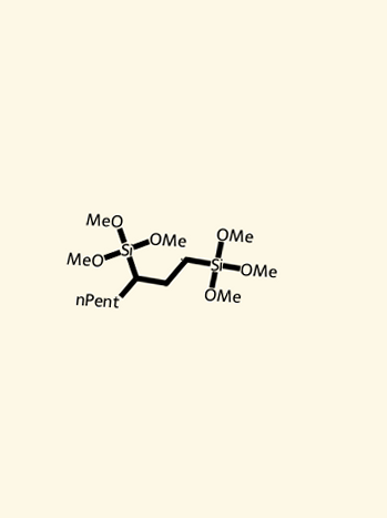 CCCCCC(C[CH][Si](OC)(OC)OC)[Si](OC)(OC)OC